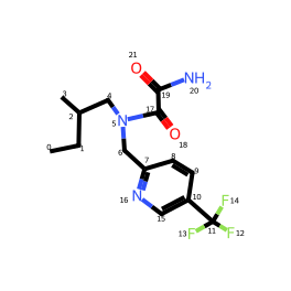 CCC(C)CN(Cc1ccc(C(F)(F)F)cn1)C(=O)C(N)=O